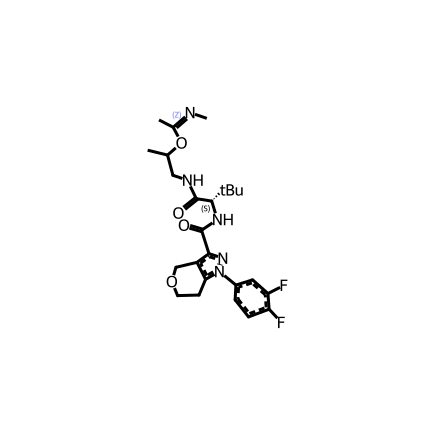 C/N=C(/C)OC(C)CNC(=O)[C@@H](NC(=O)c1nn(-c2ccc(F)c(F)c2)c2c1COCC2)C(C)(C)C